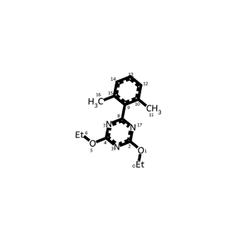 CCOc1nc(OCC)nc(-c2c(C)c[c]cc2C)n1